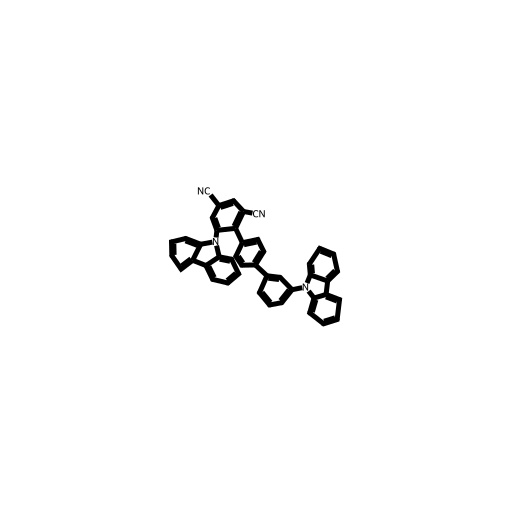 N#Cc1cc(C#N)c(-c2ccc(-c3cccc(-n4c5ccccc5c5ccccc54)c3)cc2)c(-n2c3ccccc3c3ccccc32)c1